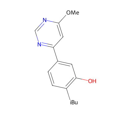 CCC(C)c1ccc(-c2cc(OC)ncn2)cc1O